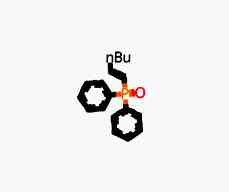 CCCCC=CP(=O)(c1ccccc1)c1ccccc1